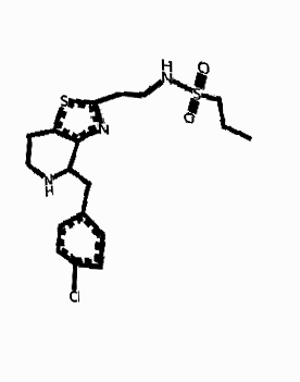 CCCS(=O)(=O)NCCc1nc2c(s1)CCNC2Cc1ccc(Cl)cc1